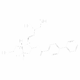 NC[C@H](O)/C=C/[C@H]1C(OC(=O)c2ccc(-c3ccccc3)cc2)C[C@@H]2OC(O)C[C@@H]21